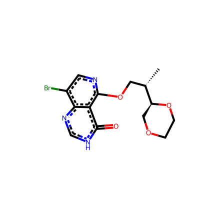 C[C@@H](COc1ncc(Br)c2nc[nH]c(=O)c12)[C@@H]1COCCO1